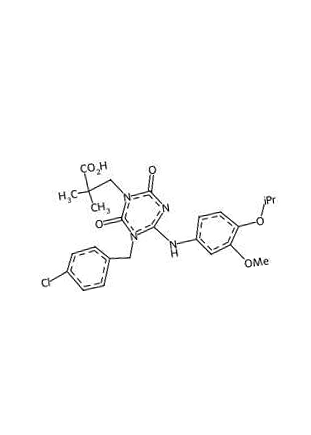 COc1cc(Nc2nc(=O)n(CC(C)(C)C(=O)O)c(=O)n2Cc2ccc(Cl)cc2)ccc1OC(C)C